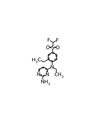 CCc1cc(S(=O)(=O)C(F)F)ccc1N(CC)c1ccnc(N)n1